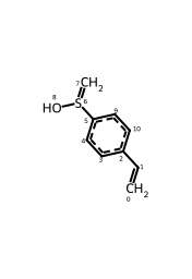 C=Cc1ccc(S(=C)O)cc1